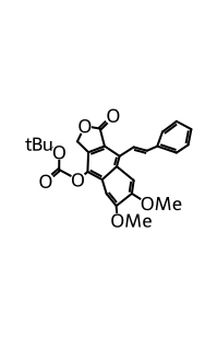 COc1cc2c(C=Cc3ccccc3)c3c(c(OC(=O)OC(C)(C)C)c2cc1OC)COC3=O